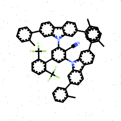 Cc1ccccc1-c1ccc2c3ccc(-c4ccccc4C)cc3n(-c3cc(-c4c(C(F)(F)F)cccc4C(F)(F)F)cc(-n4c5cc(-c6ccccc6C)ccc5c5ccc(-c6ccccc6C)cc54)c3C#N)c2c1